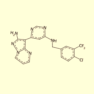 Nc1nn2cccnc2c1-c1cc(NCc2ccc(Cl)c(C(F)(F)F)c2)ncn1